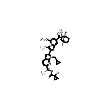 COc1cc(C(=O)N2[C@H]3CC[C@@H]2[C@H](N)C3)cc2nc(-c3cc4ccc([C@@H](C)NC(=O)C5(O)CC5)nc4n3CC3CC3)c(C)n12